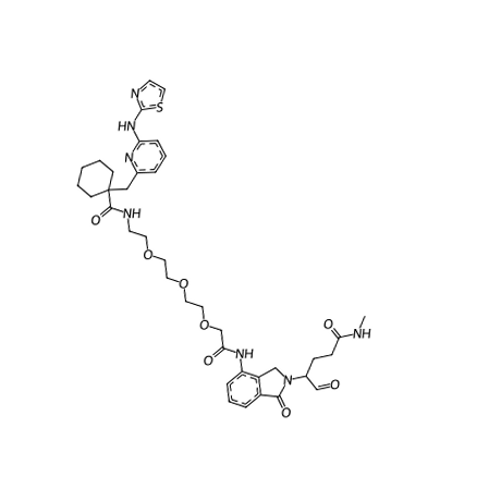 CNC(=O)CCC(C=O)N1Cc2c(NC(=O)COCCOCCOCCNC(=O)C3(Cc4cccc(Nc5nccs5)n4)CCCCC3)cccc2C1=O